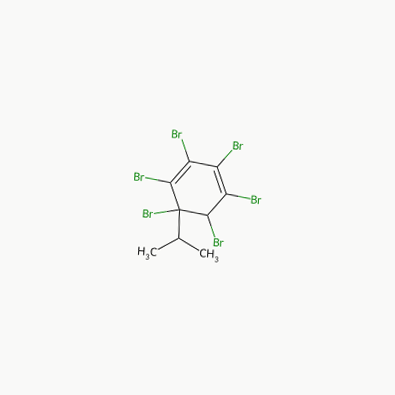 CC(C)C1(Br)C(Br)=C(Br)C(Br)=C(Br)C1Br